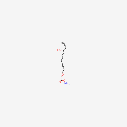 C#CC[C@@H](O)/C=C/C=C/C#CCCOCC(=O)ON